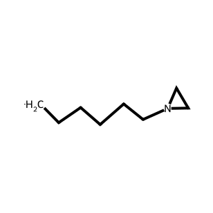 [CH2]CCCCCN1CC1